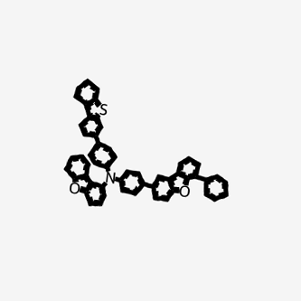 c1ccc(-c2cccc3c2oc2ccc(-c4ccc(N(c5ccc(-c6ccc7c(c6)sc6ccccc67)cc5)c5cccc6oc7ccccc7c56)cc4)cc23)cc1